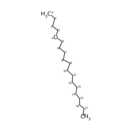 CCC[CH]OCCCCCCCCCCCCCC